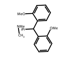 CNC.COc1ccccc1C(c1ccccc1OC)C(C)C